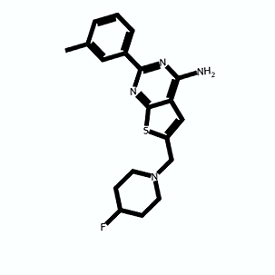 Cc1cccc(-c2nc(N)c3cc(CN4CCC(F)CC4)sc3n2)c1